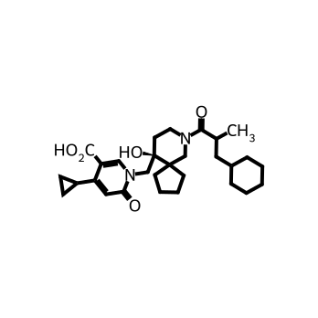 CC(CC1CCCCC1)C(=O)N1CC[C@@](O)(Cn2cc(C(=O)O)c(C3CC3)cc2=O)C2(CCCC2)C1